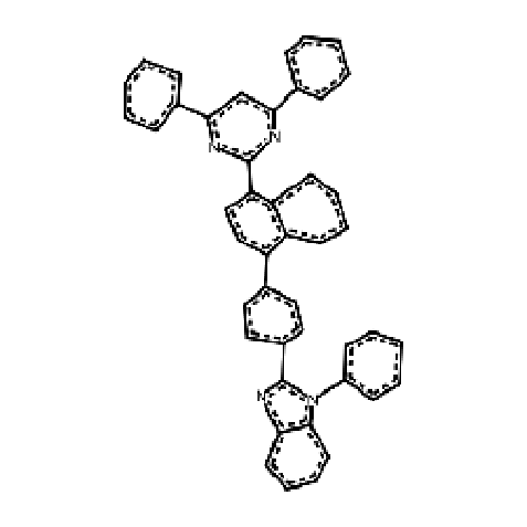 c1ccc(-c2cc(-c3ccccc3)nc(-c3ccc(-c4ccc(-c5nc6ccccc6n5-c5ccccc5)cc4)c4ccccc34)n2)cc1